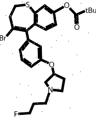 CC(C)(C)C(=O)Oc1ccc2c(c1)SCCC(Br)=C2c1cccc(OC2CCN(CCCF)C2)c1